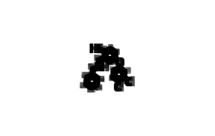 Sc1ccc(Oc2ccc(Cl)c(Cl)c2)cc1CNCc1ccccc1